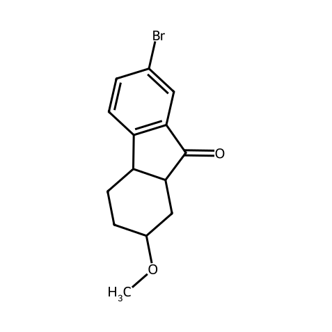 COC1CCC2c3ccc(Br)cc3C(=O)C2C1